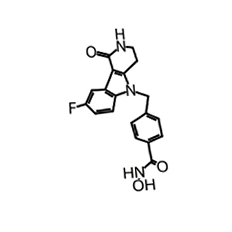 O=C(NO)c1ccc(Cn2c3c(c4cc(F)ccc42)C(=O)NCC3)cc1